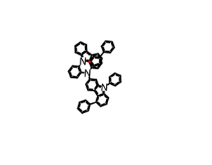 c1ccc(-c2ccc(N(c3ccc4c5c(-c6ccccc6)cccc5n(-c5ccccc5)c4c3)c3ccccc3-n3c4ccccc4c4ccccc43)cc2)cc1